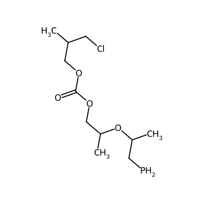 CC(CCl)COC(=O)OCC(C)OC(C)CP